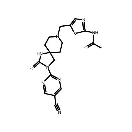 CC(=O)Nc1ncc(CN2CCC3(CC2)CN(c2ncc(C#N)cn2)C(=O)N3)s1